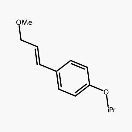 COC/C=C/c1ccc(OC(C)C)cc1